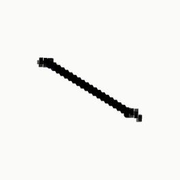 [CH]=C/C=C/CCCCCCCCCCCCCCCCCCCCCCCCCCCCCCCCCCCC